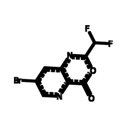 O=c1oc(C(F)F)nc2cc(Br)cnc12